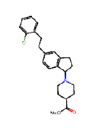 COC(=O)C1CCN(C2CCc3cc(CCc4ccccc4Cl)ccc32)CC1